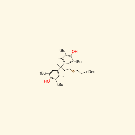 CCCCCCCCCCCCSCCC(C)(c1cc(C(C)(C)C)c(O)c(C(C)(C)C)c1C)c1cc(C(C)(C)C)c(O)c(C(C)(C)C)c1C